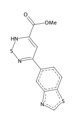 COC(=O)C1=CC(c2ccc3scnc3c2)=NSN1